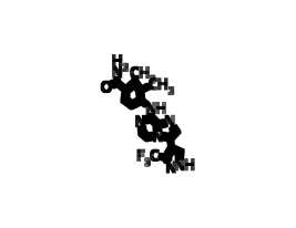 Cc1c(Nc2nccn3c(-c4c[nH]nc4C(F)(F)F)cnc23)ccc(C(N)=O)c1C